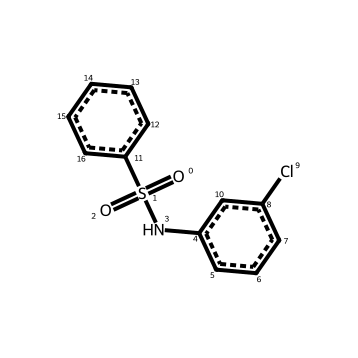 O=S(=O)(Nc1cccc(Cl)c1)c1ccccc1